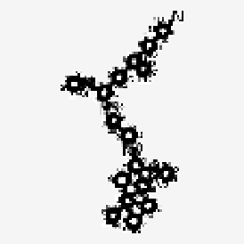 N#Cc1ccc(-c2ccc(-c3ccc(-c4ccc(-c5cc(-c6nc7ccccc7s6)cc(-c6nc7ccc(-c8ccc9oc(-c%10cc(-c%11cccc(-c%12cc(-c%13ccccc%13)c(-c%13ccccc%13)c(-c%13ccccc%13)c%12-c%12ccccc%12)c%11)cc(-c%11nc%12ccccc%12o%11)c%10)nc9c8)cc7s6)c5)cc4)c4ccccc34)cc2)cc1